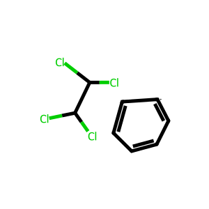 ClC(Cl)C(Cl)Cl.[c]1ccccc1